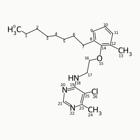 CCCCCCCCc1cccc(C)c1OCCNc1ncnc(C)c1Cl